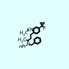 CC#N.CCCN(Cc1ccccc1)C(C)CCc1ccc(C2(F)CC2)cc1